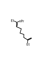 C=C(CC)CCCCC=C(CC)CCC